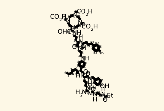 C=C(/C=C\C=C/C)[C@H](C(=O)N[C@H](CCCN/C(N)=N\C(=O)NCCNC(=O)CC)C(=O)NCc1ccc(O)cc1)c1ccc(NCCCNC(=O)[C@@H](CCCNC(C=O)N2CCN(CC(=O)O)CCN(CC(=O)O)CCN(CC(=O)O)CC2)NC(=O)CCCc2ccc(I)cc2)cc1